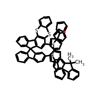 CC1(C)c2ccccc2-c2ccc(N(c3ccc(-c4ccccc4)cc3)c3ccc4c(c3)C3(c5ccccc5-4)c4ccccc4-c4c3cc(N(c3ccccc3)c3ccc(-c5ccccc5)cc3)c3c4Sc4ccccc4S3)cc21